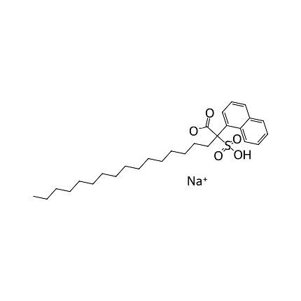 CCCCCCCCCCCCCCCCC(C(=O)[O-])(c1cccc2ccccc12)S(=O)(=O)O.[Na+]